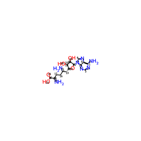 Nc1ncnc2c1ncn2[C@@H]1O[C@H](CC(N)CC[C@H](N)C(=O)O)[C@@H](O)[C@H]1O